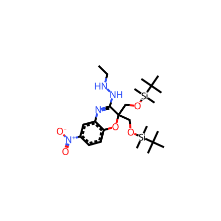 CCNNC1=Nc2cc([N+](=O)[O-])ccc2OC1(CO[Si](C)(C)C(C)(C)C)CO[Si](C)(C)C(C)(C)C